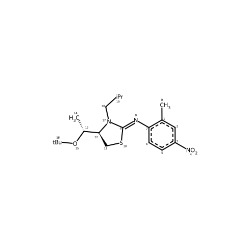 Cc1cc([N+](=O)[O-])ccc1N=C1SC[C@@H]([C@@H](C)OC(C)(C)C)N1CC(C)C